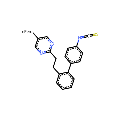 CCCCCc1cnc(CCc2ccccc2-c2ccc(N=C=S)cc2)nc1